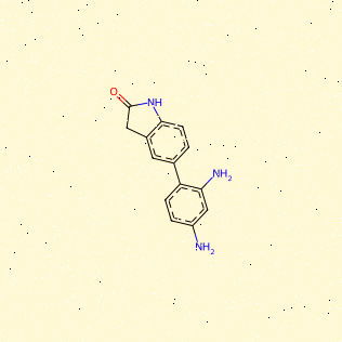 Nc1ccc(-c2ccc3c(c2)CC(=O)N3)c(N)c1